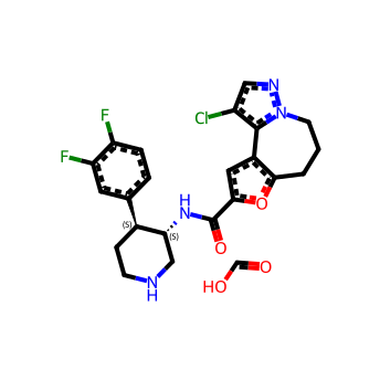 O=C(N[C@@H]1CNCC[C@H]1c1ccc(F)c(F)c1)c1cc2c(o1)CCCn1ncc(Cl)c1-2.O=CO